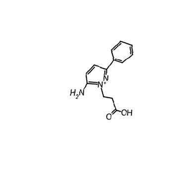 Nc1ccc(-c2ccccc2)n[n+]1CCC(=O)O